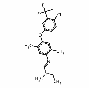 CCN(C)C=Nc1cc(C)c(Oc2ccc(Cl)c(C(F)(F)F)c2)cc1C